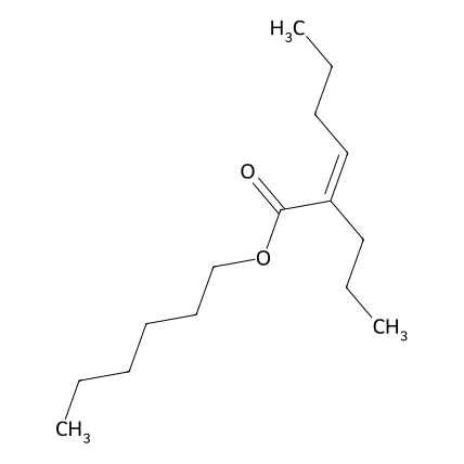 CCCC=C(CCC)C(=O)OCCCCCC